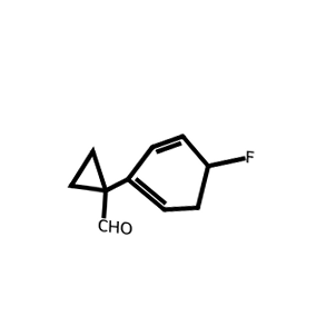 O=CC1(C2=CCC(F)C=C2)CC1